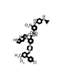 CC1(C)CCC(CN2CCN(c3ccc(C(=O)NS(=O)(=O)c4ccc(NC5CCC(NC6CC6)CC5)c([N+](=O)[O-])c4)c(-n4ncc5nc6[nH]ccc6cc54)c3)CC2)=C(c2ccc(Cl)cc2)C1